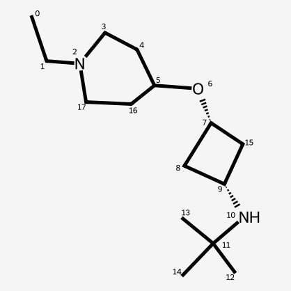 CCN1CCC(O[C@H]2C[C@@H](NC(C)(C)C)C2)CC1